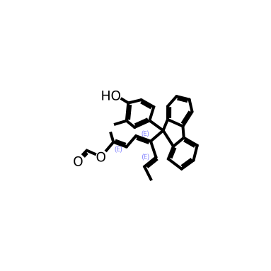 C/C=C/C(=C\C=C(/C)OC=O)C1(c2ccc(O)c(C)c2)c2ccccc2-c2ccccc21